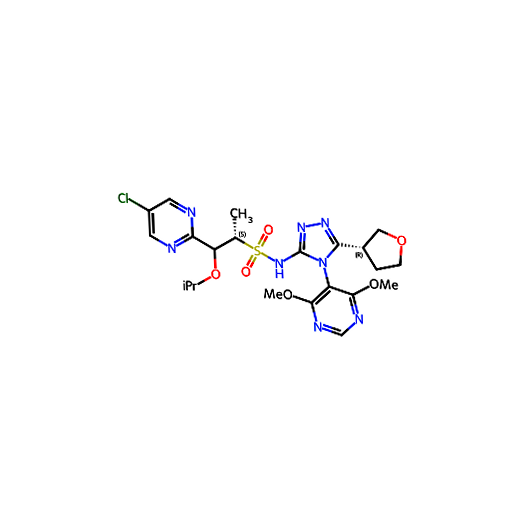 COc1ncnc(OC)c1-n1c(NS(=O)(=O)[C@@H](C)C(OC(C)C)c2ncc(Cl)cn2)nnc1[C@H]1CCOC1